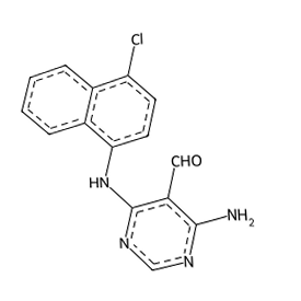 Nc1ncnc(Nc2ccc(Cl)c3ccccc23)c1C=O